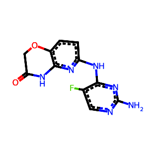 Nc1ncc(F)c(Nc2ccc3c(n2)NC(=O)CO3)n1